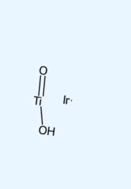 [Ir].[O]=[Ti][OH]